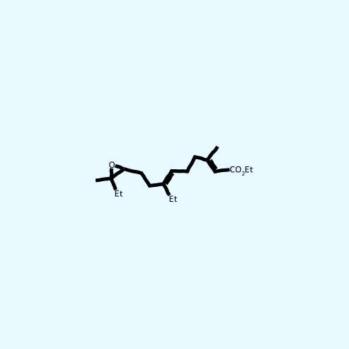 CCOC(=O)C=C(C)CCC=C(CC)CCC1OC1(C)CC